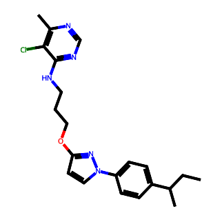 CCC(C)c1ccc(-n2ccc(OCCCNc3ncnc(C)c3Cl)n2)cc1